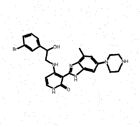 Cc1cc(N2CCNCC2)cc2[nH]c(-c3c(NCC(O)c4cccc(Br)c4)cc[nH]c3=O)nc12